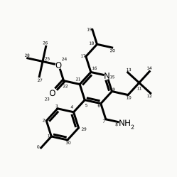 Cc1ccc(-c2c(CN)c(CC(C)(C)C)nc(CC(C)C)c2C(=O)OC(C)(C)C)cc1